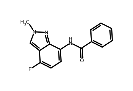 Cn1cc2c(F)ccc(NC(=O)c3ccccc3)c2n1